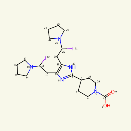 O=C(O)N1CCC(c2nc(CC(I)N3CCCC3)c(CC(I)N3CCCC3)[nH]2)CC1